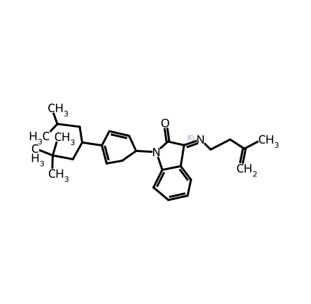 C=C(C)CC/N=C1/C(=O)N(C2C=CC(C(CC(C)C)CC(C)(C)C)=CC2)c2ccccc21